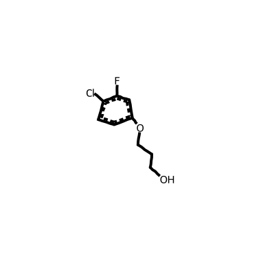 OCCCOc1ccc(Cl)c(F)c1